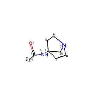 CCC(=O)NC12CCN(CC1)C2